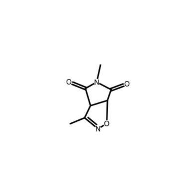 CC1=NOC2C(=O)N(C)C(=O)C12